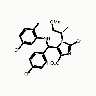 COC[C@H](C)n1c(Br)nc(C(=O)O)c1C(Nc1cc(Cl)ccc1C)c1ccc(Cl)cc1